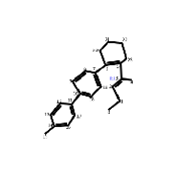 CC/C=C(\C)C1=C(c2ccc(-c3ccc(C)cc3)cc2)CCCC1